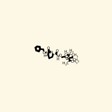 CC(C)[Si](OCCONC(=O)[C@@H]1CC[C@@H]2CN1C(=O)N2OCc1ccccc1)(C(C)C)C(C)C